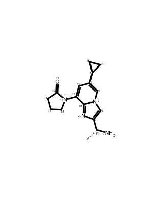 C[C@@H](N)c1cn2cc(C3CC3)cc(N3CCCC3=O)c2n1